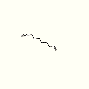 C=CCCCCCCSC